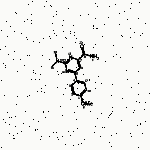 COc1ccc(-c2cc(C(N)=O)nc(N(C)C)n2)cc1